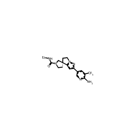 CCNC(=O)N1CC[C@@]2(CCn3nc(-c4cnc(N)c(C(F)(F)F)c4)cc32)C1